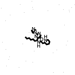 CCCCCCC(NC(=O)CC1CCCCN1)c1ccnc(-n2ccnc2)n1